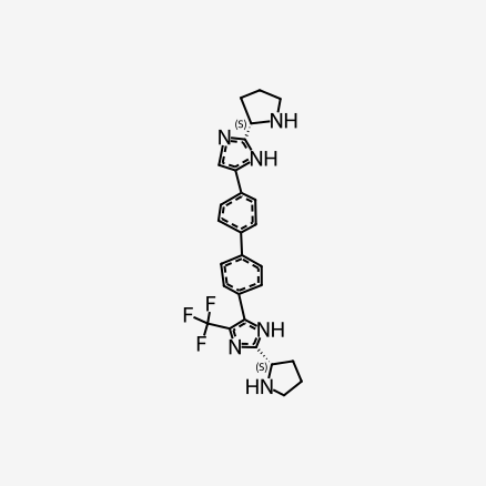 FC(F)(F)c1nc([C@@H]2CCCN2)[nH]c1-c1ccc(-c2ccc(-c3cnc([C@@H]4CCCN4)[nH]3)cc2)cc1